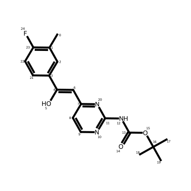 Cc1cc(/C(O)=C/c2ccnc(NC(=O)OC(C)(C)C)n2)ccc1F